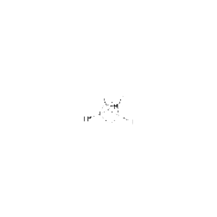 CN1C[C@H]2C[C@@H]1[C@H]2N